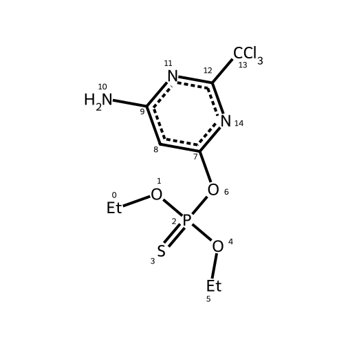 CCOP(=S)(OCC)Oc1cc(N)nc(C(Cl)(Cl)Cl)n1